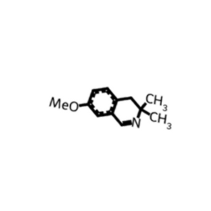 COc1ccc2c(c1)C=NC(C)(C)C2